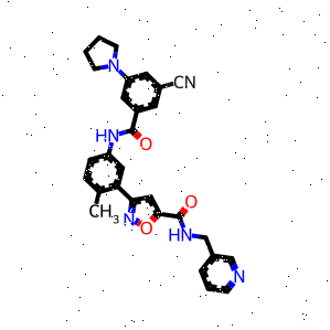 Cc1ccc(NC(=O)c2cc(C#N)cc(N3CCCC3)c2)cc1-c1cc(C(=O)NCc2cccnc2)on1